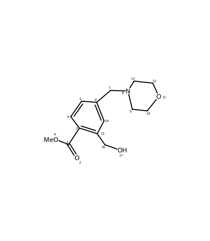 COC(=O)c1ccc(CN2CCOCC2)cc1CO